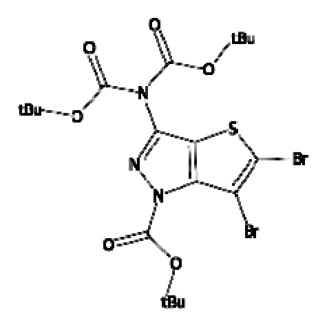 CC(C)(C)OC(=O)N(C(=O)OC(C)(C)C)c1nn(C(=O)OC(C)(C)C)c2c(Br)c(Br)sc12